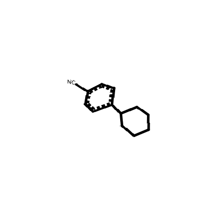 N#Cc1ccc(C2[CH]CCCC2)cc1